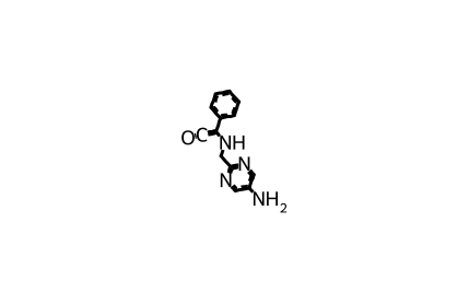 Nc1cnc(CNC(=C=O)c2ccccc2)nc1